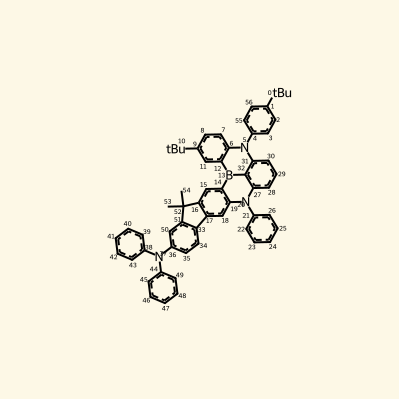 CC(C)(C)c1ccc(N2c3ccc(C(C)(C)C)cc3B3c4cc5c(cc4N(c4ccccc4)c4cccc2c43)-c2ccc(N(c3ccccc3)c3ccccc3)cc2C5(C)C)cc1